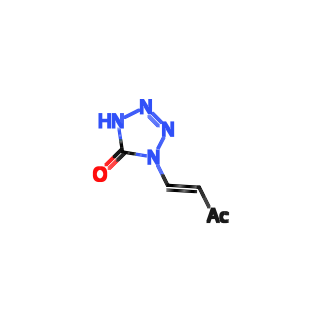 CC(=O)/C=C/n1nn[nH]c1=O